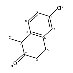 CC1C(=O)CCc2cc(Cl)ccc21